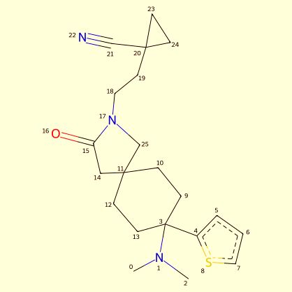 CN(C)C1(c2cccs2)CCC2(CC1)CC(=O)N(CCC1(C#N)CC1)C2